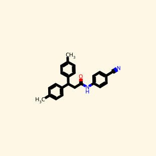 Cc1ccc(C(CC(=O)Nc2ccc(C#N)cc2)c2ccc(C)cc2)cc1